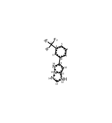 FC(F)(F)c1cccc(-c2cc3[nH][c]nn3n2)c1